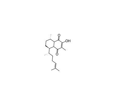 CC(C)=CCC[C@H](C)[C@H]1CC[C@H](C)C2C(=O)C(O)=C(C)C(=O)C21